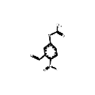 CC(=O)Oc1ccc([N+](=O)[O-])c(C=O)c1